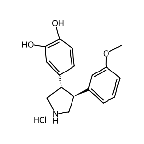 COc1cccc([C@H]2CNC[C@@H]2c2ccc(O)c(O)c2)c1.Cl